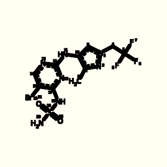 Cc1nn(CC(F)(F)F)cc1Nc1ncc(Br)c(NS(N)(=O)=O)n1